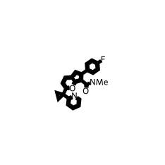 CNC(=O)c1c(-c2ccc(F)cc2)cc2ccc(C3(c4ccccn4)CC3)oc1-2